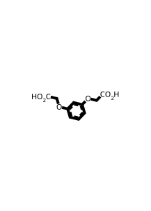 O=C(O)COc1cccc(OCC(=O)O)c1